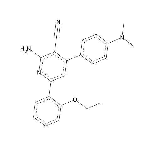 CCOc1ccccc1-c1cc(-c2ccc(N(C)C)cc2)c(C#N)c(N)n1